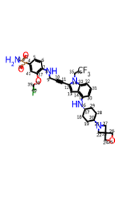 NS(=O)(=O)c1ccc(NCC#Cc2cc3c(N[C@H]4CC[C@H](N5CC6(COC6)C5)CC4)cccc3n2CC(F)(F)F)c(OCF)c1